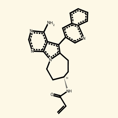 C=CC(=O)N[C@H]1CCc2c(-c3cnc4ccccc4c3)c3c(N)ncnc3n2CC1